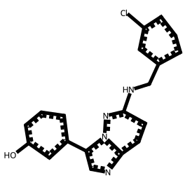 Oc1cccc(-c2cnc3ccc(NCc4cccc(Cl)c4)nn23)c1